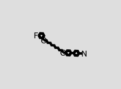 N#Cc1ccc(-c2ccc(OCCCCCCCCCOc3cccc(F)c3)cc2)cc1